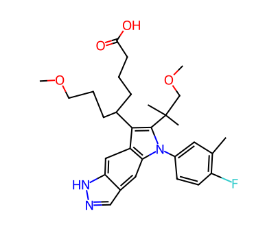 COCCCC(CCCC(=O)O)c1c(C(C)(C)COC)n(-c2ccc(F)c(C)c2)c2cc3cn[nH]c3cc12